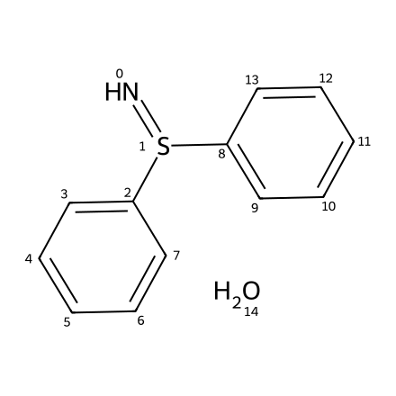 N=S(c1ccccc1)c1ccccc1.O